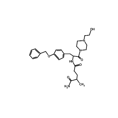 CC(C[CH]C(=O)NC(Cc1ccc(OCc2ccccc2)cc1)C(=O)N1CCN(CCO)CC1)C(N)=O